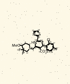 CCOC(=O)C1=C(CN2CCC(OC)C(F)(F)C2)NC(c2nccs2)=NC1c1ccc(F)cc1Cl